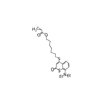 C=CC(=O)OCCCCCCCSc1cc(=O)sc2c(N(CC)CC)cccc12